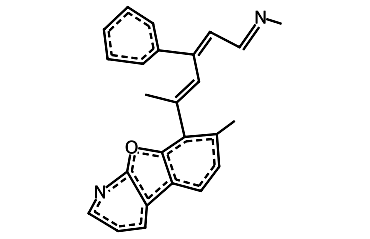 C/N=C/C=C(\C=C(/C)c1c(C)ccc2c1oc1ncccc12)c1ccccc1